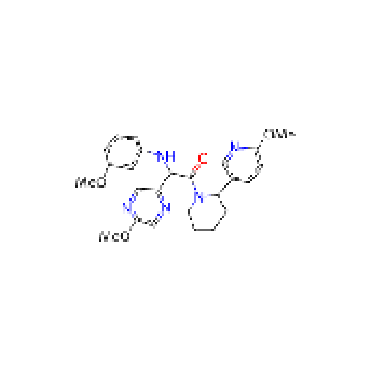 COc1cccc(NC(C(=O)N2CCCCC2c2ccc(OC)nc2)c2cnc(OC)cn2)c1